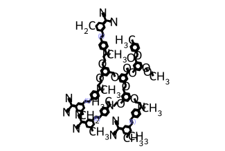 C=C1CC(/C=C/c2ccc(N(C)CCOc3cc(COc4cc(OCc5cc(OCCN(C)c6ccc(/C=C/C7=CC(=C(C#N)C#N)CC(C)C7)cc6)cc(OCCN(C)c6ccc(/C=C/C7=CC(=C(C#N)C#N)CC(C)(C)C7)cc6)c5)cc(C(=O)Oc5cc(OOCC)cc(C(=O)Oc6ccc(C)cc6)c5)c4)cc(OCCN(C)c4ccc(/C=C/C5=CC(=C(C#N)C#N)CC(=C)C5)cc4)c3)cc2)=CC(=C(C#N)C#N)C1